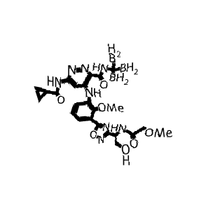 BC(B)(B)NC(=O)c1nnc(NC(=O)C2CC2)cc1Nc1cccc(-c2nc([C@H](CO)NC(=O)COC)no2)c1OC